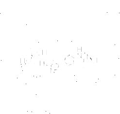 CN(C(=O)Nc1ccc(-c2cnc(CCC(C)(C)C(=O)O)s2)cc1)C1CCCCC1